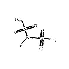 CS(=O)(=O)N(F)S(=O)(=O)C(F)(F)F